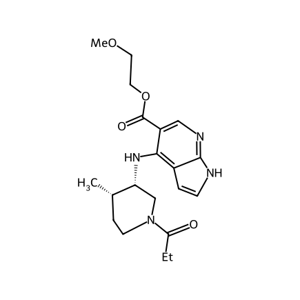 CCC(=O)N1CC[C@H](C)[C@H](Nc2c(C(=O)OCCOC)cnc3[nH]ccc23)C1